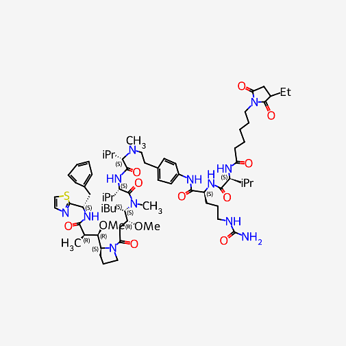 CCC1CC(=O)N(CCCCCC(=O)N[C@H](C(=O)N[C@@H](CCCNC(N)=O)C(=O)Nc2ccc(CCN(C)[C@H](C(=O)N[C@H](C(=O)N(C)[C@@H]([C@@H](C)CC)[C@@H](CC(=O)N3CCC[C@H]3[C@H](OC)[C@@H](C)C(=O)N[C@@H](Cc3ccccc3)c3nccs3)OC)C(C)C)C(C)C)cc2)C(C)C)C1=O